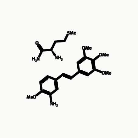 COc1ccc(C=Cc2cc(OC)c(OC)c(OC)c2)cc1N.CSCC[C@@H](N)C(N)=O